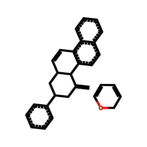 C1=CCOC=C1.C=C1CC(c2ccccc2)CC2C=Cc3c(ccc4ccccc34)C12